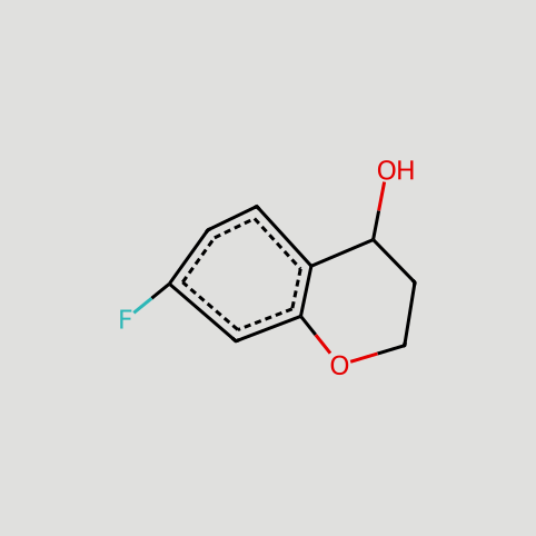 OC1CCOc2cc(F)ccc21